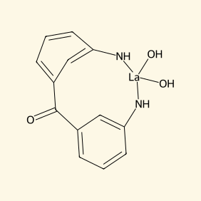 O=C1c2cccc(c2)[NH][La]([OH])([OH])[NH]c2cccc1c2